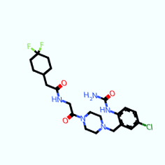 NC(=O)Nc1ccc(Cl)cc1CN1CCN(C(=O)CNC(=O)CC2CCC(F)(F)CC2)CC1